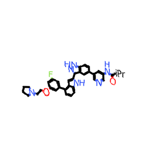 CC(C)C(=O)Nc1cncc(-c2ccc3[nH]nc(-c4cc5c(-c6cc(F)cc(OCCN7CCCC7)c6)cccc5[nH]4)c3c2)c1